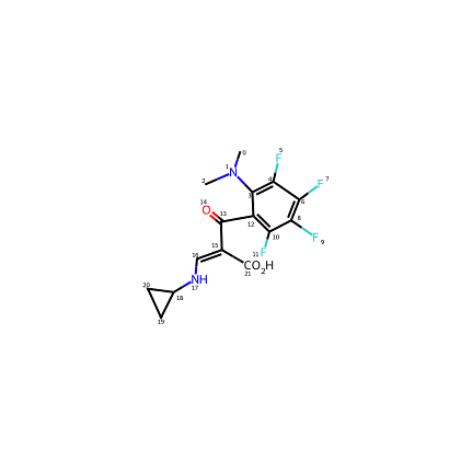 CN(C)c1c(F)c(F)c(F)c(F)c1C(=O)C(=CNC1CC1)C(=O)O